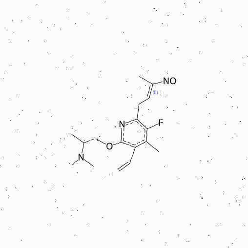 C=Cc1c(OCC(C)N(C)C)nc(C/C=C(\C)N=O)c(F)c1C